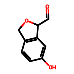 O=CC1OCc2ccc(O)cc21